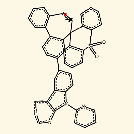 O=S1(=O)c2ccccc2C2(c3ccccc3-c3ccccc3-c3ccc(-c4ccc5c(c4)c4cccnc4n5-c4ccccn4)cc32)c2ccccc21